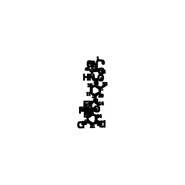 CCN1OCC(NC(=O)c2ccc(C3=COC(c4cc(Cl)cc(Cl)c4)(C(F)(F)F)C3)cc2C)C1=O